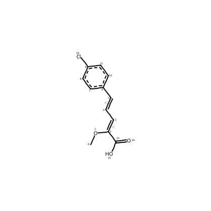 CO/C(=C\C=C\c1ccc(Cl)cc1)C(=O)O